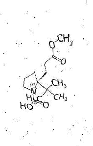 COC(=O)CC[C@]1(C(C)(C)C)CCCN1C(=O)O